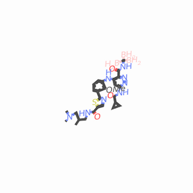 BC(B)(B)NC(=O)c1nnc(NC(=O)C2CC2)cc1Nc1cccc(-c2ncc(C(=O)NCC(C)CN(C)C)s2)c1OC